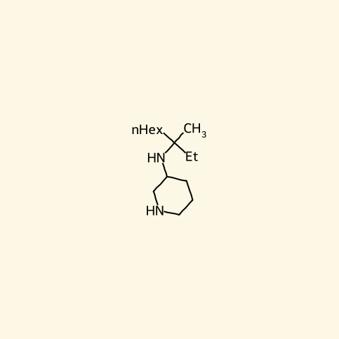 CCCCCCC(C)(CC)NC1CCCNC1